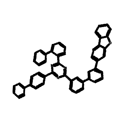 c1ccc(-c2ccc(-c3nc(-c4cccc(-c5cccc(-c6ccc7c(c6)oc6ccccc67)c5)c4)nc(-c4ccccc4-c4ccccc4)n3)cc2)cc1